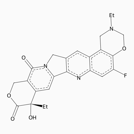 [CH2]CN1COc2c(F)cc3nc4c(cc3c2C1)Cn1c-4cc2c(c1=O)COC(=O)[C@]2(O)CC